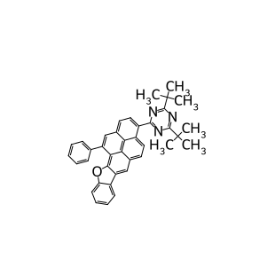 CC(C)(C)c1nc(-c2ccc3cc(-c4ccccc4)c4c5oc6ccccc6c5cc5ccc2c3c54)nc(C(C)(C)C)n1